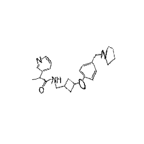 CC(C(=O)NCC1CC(Oc2ccc(CN3CCCC3)cc2)C1)c1cccnc1